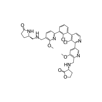 COc1cc(-c2nccc(-c3cccc(-c4ccc(CNC[C@H]5CCC(=O)N5)c(OC)n4)c3Cl)c2Cl)cnc1CN[C@H]1CCOC1=O